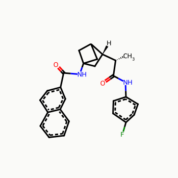 C[C@H](C(=O)Nc1ccc(F)cc1)[C@@H]1CC2(NC(=O)c3ccc4ccccc4c3)CC1C2